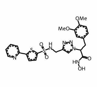 COc1ccc(CC(C(=O)NO)n2cc(CNS(=O)(=O)c3ccc(-c4ccccn4)s3)nn2)cc1OC